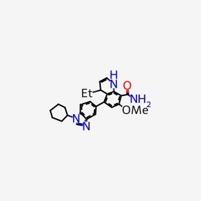 CCC1C=CNc2c(C(N)=O)c(OC)cc(-c3ccc4c(c3)ncn4C3CCCCC3)c21